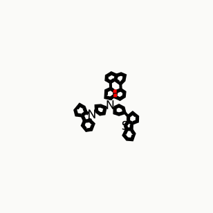 c1ccc(-c2cccc3cccc(-c4ccc(N(c5ccc(-c6cccc7c6sc6ccccc67)cc5)c5ccc(-n6c7ccccc7c7ccccc76)cc5)cc4)c23)cc1